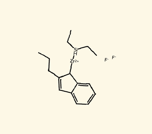 CCCC1=Cc2ccccc2[CH]1[Zr+2][SiH](CC)CC.[F-].[F-]